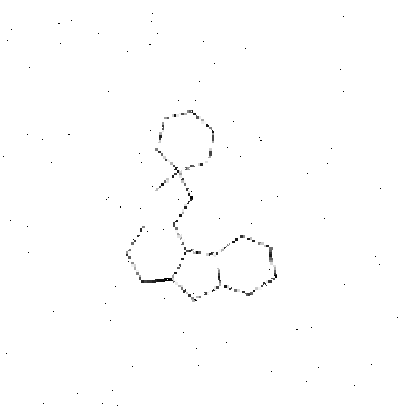 CC1(CC2CCCC3CC4CCCCC4C32)CCCCC1